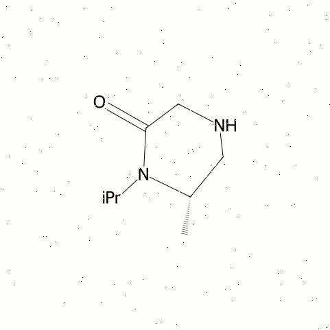 CC(C)N1C(=O)CNC[C@@H]1C